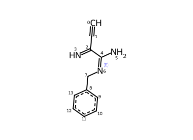 C#CC(=N)/C(N)=N\Cc1ccccc1